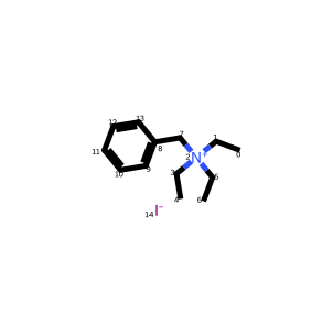 CC[N+](CC)(CC)Cc1ccccc1.[I-]